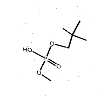 COP(=O)(O)OCC(C)(C)C